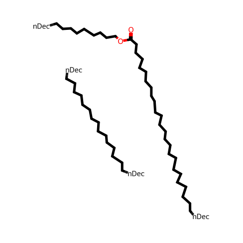 CCCCCCCCCCCCCCCCCCCCCCCCCCCCCCCCCCC.CCCCCCCCCCCCCCCCCCCCCCCCCCCCCCCCCCC(=O)OCCCCCCCCCCCCCCCCCCC